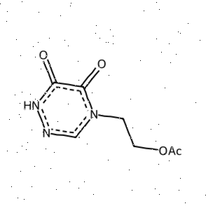 CC(=O)OCCn1[c]n[nH]c(=O)c1=O